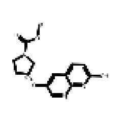 CC(C)(C)OC(=O)N1CC[C@@H](Oc2cnc3nc(O)ccc3c2)C1